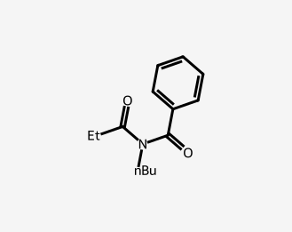 CCCCN(C(=O)CC)C(=O)c1ccccc1